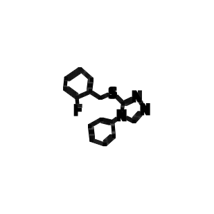 Fc1ccccc1CSc1nncn1-c1ccccc1